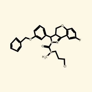 CN(CCCCl)C(=O)N1N=C2c3cc(F)ccc3OCC2C1c1cccc(OCc2ccccc2)c1